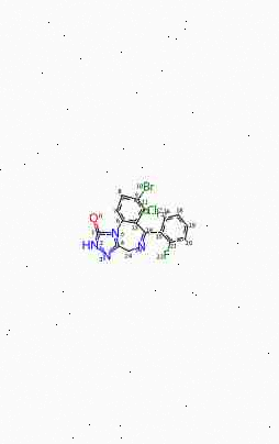 O=c1[nH]nc2n1-c1ccc(Br)c(Cl)c1C(c1c(F)cccc1F)=NC2